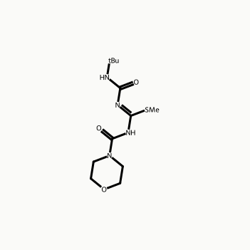 CSC(=NC(=O)NC(C)(C)C)NC(=O)N1CCOCC1